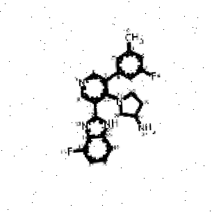 Cc1cc(F)cc(-c2cncc(-c3nc4c(F)cccc4[nH]3)c2N2CCC(N)C2)c1